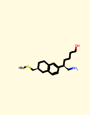 CCCCSC[C@H]1CCc2cc([C@H](CN)CCCCO)ccc2C1